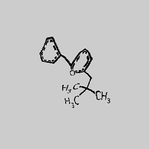 CC(C)(C)Cc1ccc(-c2ccccc2)o1